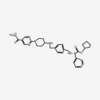 O=C(NO)c1cnc(N2CCC(NCc3ccc(CN[C@H](C(=O)OC4CCCC4)c4ccccc4)cc3)CC2)nc1